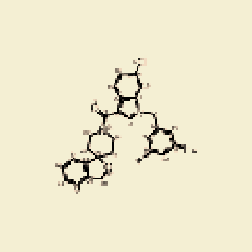 O=C(c1cn(Cc2cc(F)cc(F)c2)c2cc(Cl)ccc12)N1CCC2(CC1)OCc1ncccc12